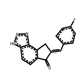 O=C1/C(=C/c2ccc(F)cc2)Cc2c1ccc1[nH]nnc21